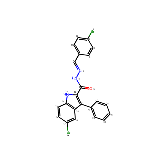 O=C(NN=Cc1ccc(Br)cc1)c1[nH]c2ccc(Br)cc2c1-c1ccccc1